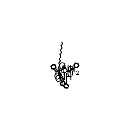 CCCCCCCCCCCCC[C@@H](CC(N)=O)N(Cc1ccccc1)C(=O)[C@H](CCCC(=O)OCc1ccccc1)NC(=O)c1ccc2ccccc2n1